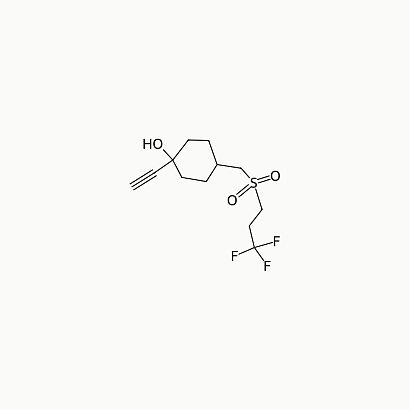 C#CC1(O)CCC(CS(=O)(=O)CCC(F)(F)F)CC1